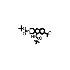 CC(=O)c1ccc2c(c1)[C@@H](N[S+]([O-])C(C)(C)C)C1(CCN(C(=O)OC(C)(C)C)CC1)C2